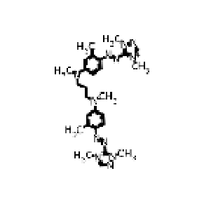 Cc1cc(N(C)CCCN(C)c2ccc(N=Nc3n(C)nc[n+]3C)c(C)c2)ccc1N=Nc1n(C)nc[n+]1C